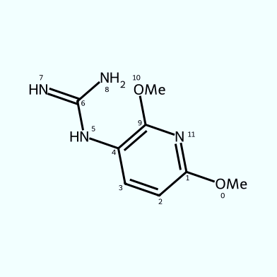 COc1ccc(NC(=N)N)c(OC)n1